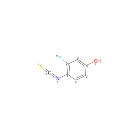 Oc1ccc(N=C=S)c(F)c1